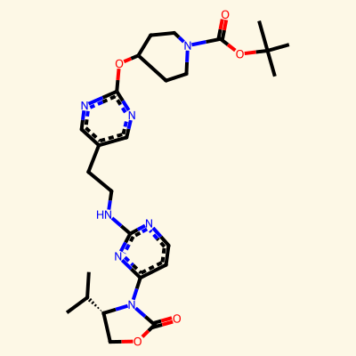 CC(C)[C@H]1COC(=O)N1c1ccnc(NCCc2cnc(OC3CCN(C(=O)OC(C)(C)C)CC3)nc2)n1